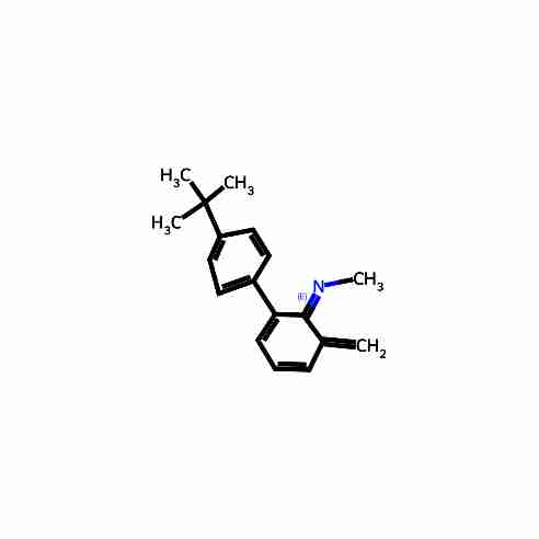 C=C1C=CC=C(c2ccc(C(C)(C)C)cc2)/C1=N/C